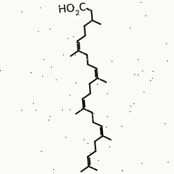 CC(C)=CCCC(C)=CCCC(C)=CCCC(C)=CCCC(C)=CCCC(C)CC(=O)O